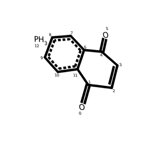 O=C1C=CC(=O)c2ccccc21.P